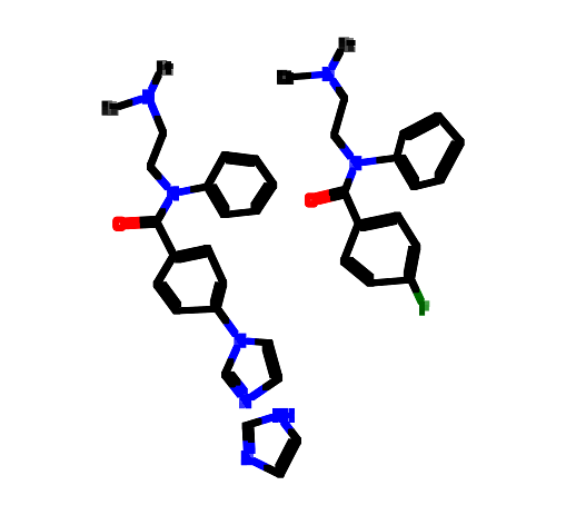 CCN(CC)CCN(C(=O)c1ccc(-n2ccnc2)cc1)c1ccccc1.CCN(CC)CCN(C(=O)c1ccc(F)cc1)c1ccccc1.c1c[nH]cn1